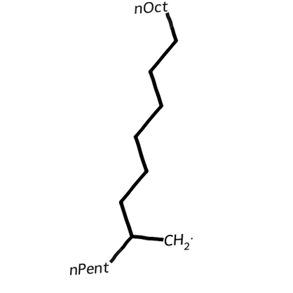 [CH2]C(CCCCC)CCCCCCCCCCCCCC